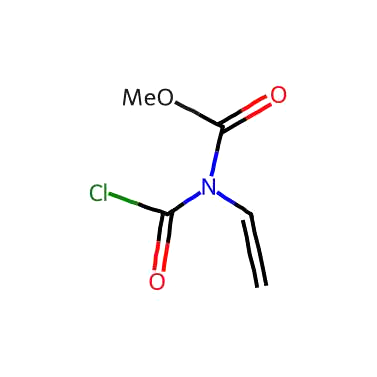 C=CN(C(=O)Cl)C(=O)OC